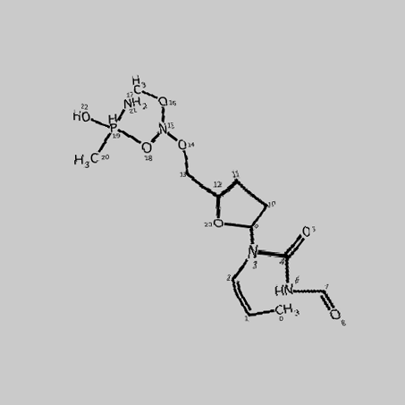 C/C=C\N(C(=O)NC=O)C1CCC(CON(OC)O[PH](C)(N)O)O1